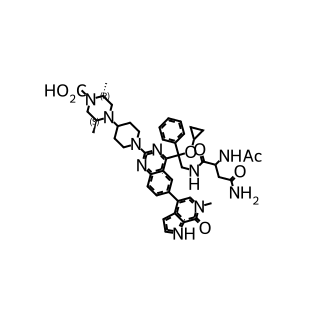 CC(=O)NC(CC(N)=O)C(=O)NCC(OC1CC1)(c1ccccc1)c1nc(N2CCC(N3C[C@@H](C)N(C(=O)O)C[C@@H]3C)CC2)nc2ccc(-c3cn(C)c(=O)c4[nH]ccc34)cc12